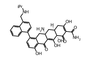 CC(C)NCc1ccc(-c2ccc(O)c3c2C[C@@]2(N)C[C@H]4CC(O)=C(C(N)=O)C(=O)[C@@]4(O)C(O)=C2C3=O)c2ccccc12